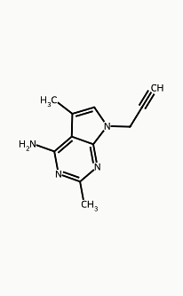 C#CCn1cc(C)c2c(N)nc(C)nc21